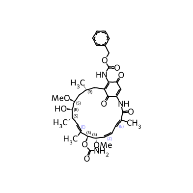 CO[C@H]1/C=C\C=C(/C)C(=O)NC2=CC(=O)C(NC(=O)OCc3ccccc3)=C(C[C@@H](C)C[C@H](OC)[C@H](O)[C@@H](C)/C=C(\C)[C@@H]1OC(N)=O)C2=O